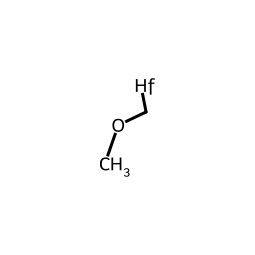 CO[CH2][Hf]